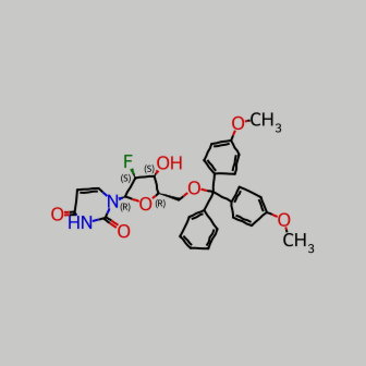 COc1ccc(C(OC[C@H]2O[C@@H](n3ccc(=O)[nH]c3=O)[C@@H](F)[C@H]2O)(c2ccccc2)c2ccc(OC)cc2)cc1